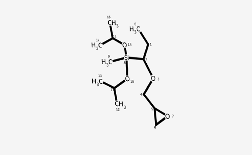 CCC(OCC1CO1)[Si](C)(OC(C)C)OC(C)C